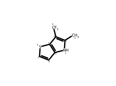 Cc1[nH]c2ccsc2c1C(F)(F)F